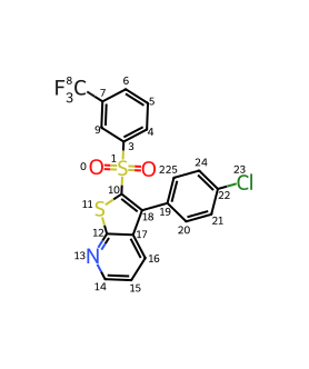 O=S(=O)(c1cccc(C(F)(F)F)c1)c1sc2ncccc2c1-c1ccc(Cl)cc1